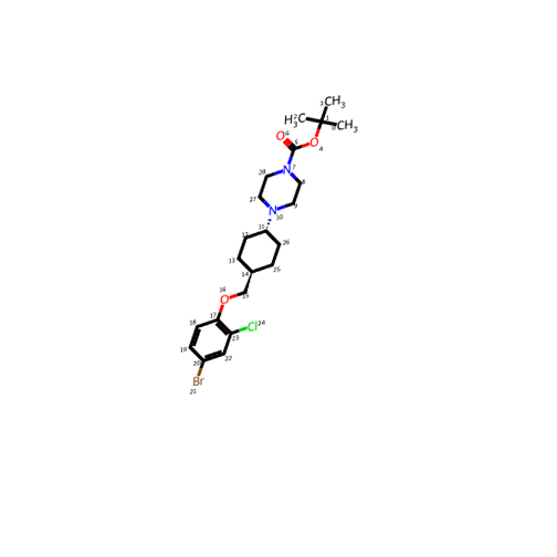 CC(C)(C)OC(=O)N1CCN([C@H]2CC[C@H](COc3ccc(Br)cc3Cl)CC2)CC1